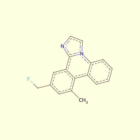 Cc1cc(CF)cc2c1c1ccccc1n1ccnc21